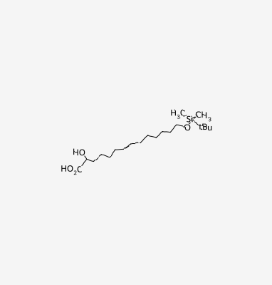 CC(C)(C)[Si](C)(C)OCCCCCCCCCCCCC(O)C(=O)O